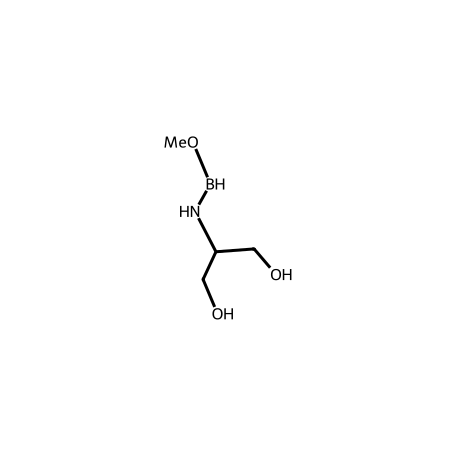 COBNC(CO)CO